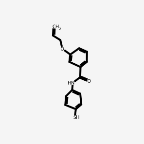 C=CCOc1cccc(C(=O)Nc2ccc(S)cc2)c1